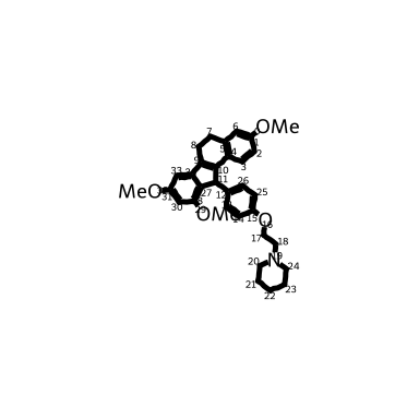 COc1ccc2c(c1)CCC1=C2C(c2ccc(OCCN3CCCCC3)cc2)c2c(OC)cc(OC)cc21